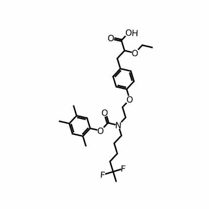 CCOC(Cc1ccc(OCCN(CCCCC(C)(F)F)C(=O)Oc2cc(C)c(C)cc2C)cc1)C(=O)O